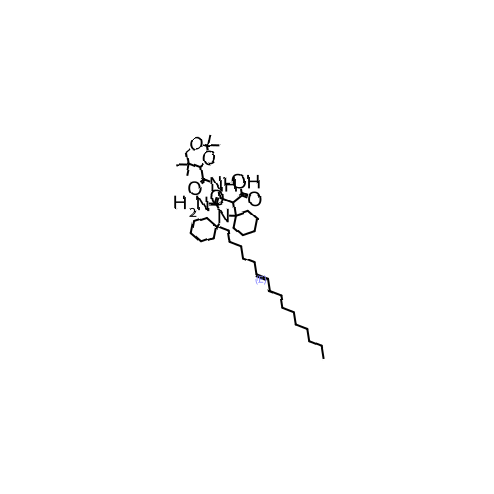 CCCCCCCCC/C=C/CCCCCC1(N(C(N)=O)C2(C(CNC(=O)C3OC(C)(C)OCC3(C)C)C(=O)O)CCCCC2)CCCCC1